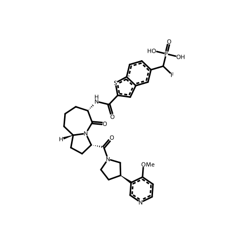 COc1ccncc1[C@H]1CCN(C(=O)[C@@H]2CC[C@@H]3CCC[C@H](NC(=O)c4cc5cc(C(F)P(=O)(O)O)ccc5s4)C(=O)N32)C1